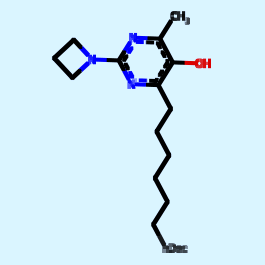 CCCCCCCCCCCCCCCCc1nc(N2CCC2)nc(C)c1O